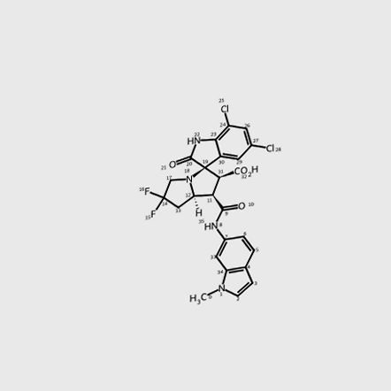 Cn1ccc2ccc(NC(=O)[C@H]3[C@H]4CC(F)(F)CN4[C@]4(C(=O)Nc5c(Cl)cc(Cl)cc54)[C@H]3C(=O)O)cc21